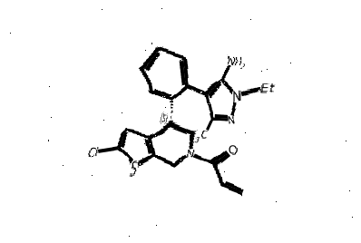 C=CC(=O)N1Cc2sc(Cl)cc2[C@H](c2ccccc2-c2c(C(F)(F)F)nn(CC)c2N)C1